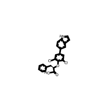 O=C(O)[C@@H](Cc1ccccc1)Oc1c(Cl)cc(-c2ccc3[nH]ccc3c2)cc1Cl